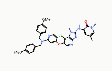 COc1ccc(CN(Cc2ccc(OC)cc2)c2cc(Oc3cnc4nc(Nc5cc(C)cn(C)c5=O)n(C)c4c3Cl)ccn2)cc1